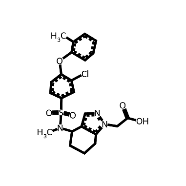 Cc1ccccc1Oc1ccc(S(=O)(=O)N(C)C2CCCc3c2cnn3CC(=O)O)cc1Cl